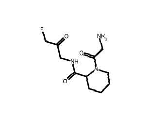 NCC(=O)N1CCCCC1C(=O)NCC(=O)CF